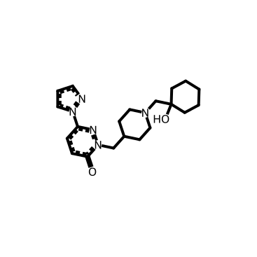 O=c1ccc(-n2cccn2)nn1CC1CCN(CC2(O)CCCCC2)CC1